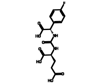 O=C(O)CC[C@H](NC(=O)N[C@H](C(=O)O)c1ccc(F)cc1)C(=O)O